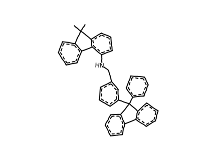 CC1(C)c2ccccc2-c2c(NCc3cccc(C4(c5ccccc5)c5ccccc5-c5ccccc54)c3)cccc21